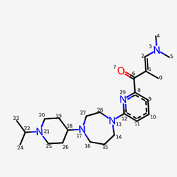 C/C(=C\N(C)C)C(=O)c1cccc(N2CCCN(C3CCN(C(C)C)CC3)CC2)n1